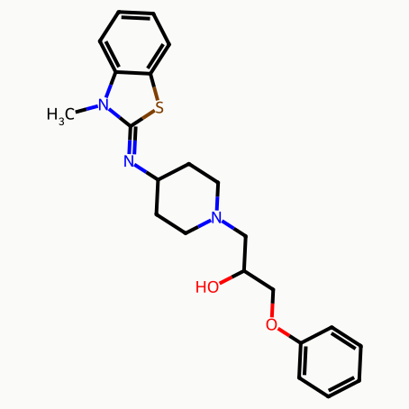 Cn1/c(=N/C2CCN(CC(O)COc3ccccc3)CC2)sc2ccccc21